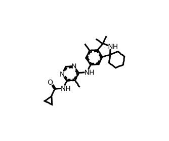 Cc1cc(Nc2ncnc(NC(=O)C3CC3)c2C)cc2c1C(C)(C)NC21CCCCC1